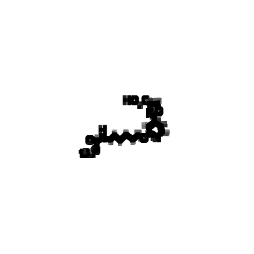 CC(C)(C)OC(=O)NCCCCCCOc1cc(-c2nc(C(=O)O)co2)ccn1